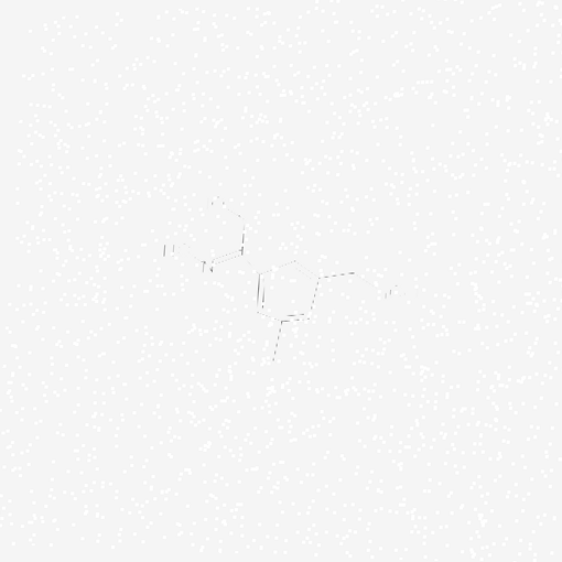 CCCCCCCCCc1cc(C)cc(C(CO)=NO)c1